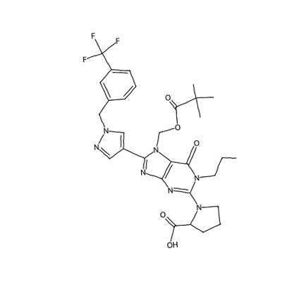 CCCn1c(N2CCCC2C(=O)O)nc2nc(-c3cnn(Cc4cccc(C(F)(F)F)c4)c3)n(COC(=O)C(C)(C)C)c2c1=O